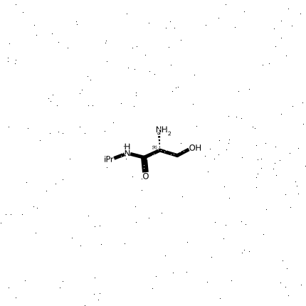 CC(C)NC(=O)[C@H](N)CO